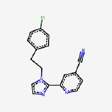 N#Cc1ccnc(-c2nccn2CCc2ccc(Cl)cc2)c1